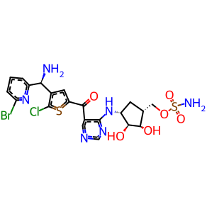 N[C@H](c1cccc(Br)n1)c1cc(C(=O)c2cncnc2N[C@@H]2C[C@H](COS(N)(=O)=O)[C@@H](O)[C@H]2O)sc1Cl